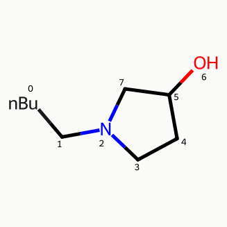 CCCCCN1CCC(O)C1